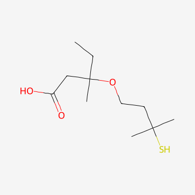 CCC(C)(CC(=O)O)OCCC(C)(C)S